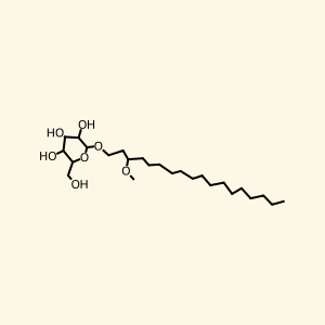 CCCCCCCCCCCCCCCC(CCOC1OC(CO)C(O)C(O)C1O)OC